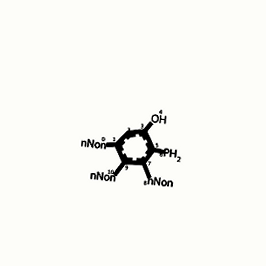 CCCCCCCCCc1cc(O)c(P)c(CCCCCCCCC)c1CCCCCCCCC